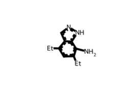 CCc1cc(CC)c2cn[nH]c2c1N